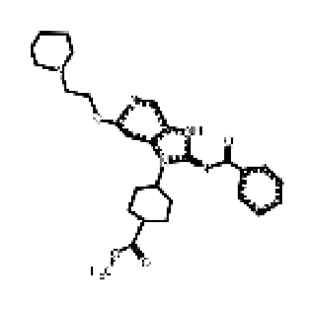 COC(=O)C1CCC(n2/c(=N/C(=O)c3ccccc3)[nH]c3cnc(OCCN4CCCCC4)cc32)CC1